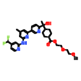 CCOCCOCCOC(=O)C1CCC(C(C)(O)c2ccc(-c3cc(C)cc(Nc4cc(C(F)F)ccn4)n3)cn2)CC1